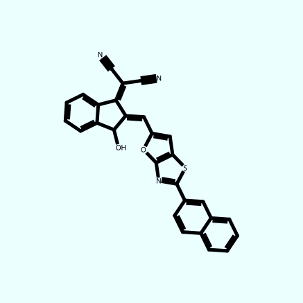 N#CC(C#N)=C1/C(=C/c2cc3sc(-c4ccc5ccccc5c4)nc3o2)C(O)c2ccccc21